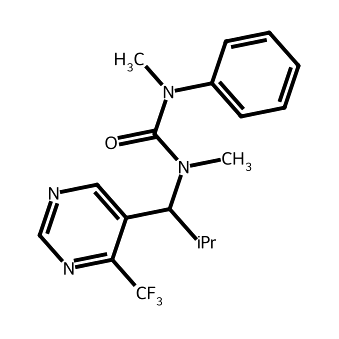 CC(C)C(c1cncnc1C(F)(F)F)N(C)C(=O)N(C)c1ccccc1